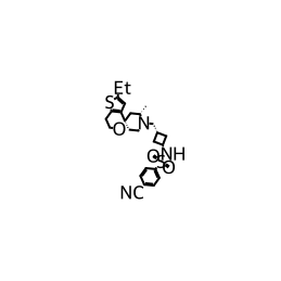 CCc1cc2c(s1)CCO[C@@]21CCN(C[C@H]2C[C@@H](NS(=O)(=O)c3ccc(C#N)cc3)C2)[C@@H](C)C1